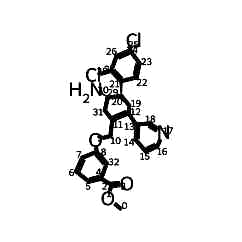 COC(=O)c1cccc(OCC2=C(c3cccnc3)C[C@H](c3ccc(Cl)cc3Cl)[C@@H](N)C2)c1